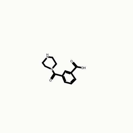 O=C(O)c1cccc(C(=O)N2CCNCC2)c1